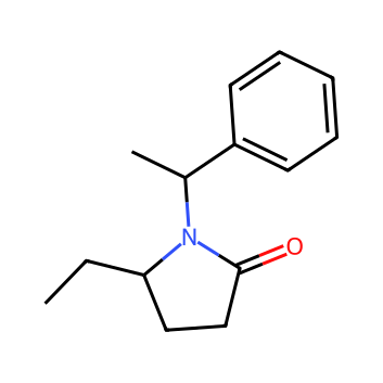 CCC1CCC(=O)N1C(C)c1ccccc1